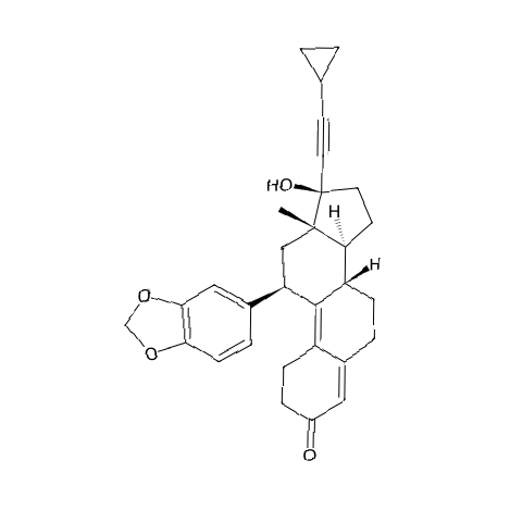 C[C@]12C[C@H](c3ccc4c(c3)OCO4)C3=C4CCC(=O)C=C4CC[C@H]3[C@@H]1CC[C@@]2(O)C#CC1CC1